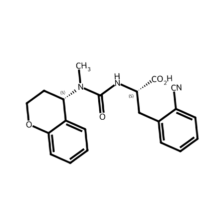 CN(C(=O)N[C@@H](Cc1ccccc1C#N)C(=O)O)[C@H]1CCOc2ccccc21